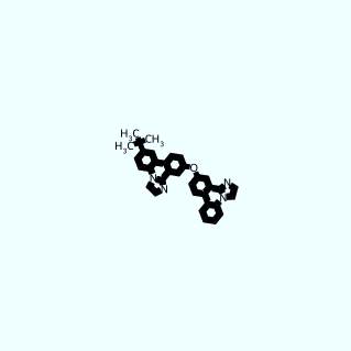 CC(C)(C)c1ccc2c(c1)c1ccc(Oc3ccc4c5ccccc5n5ccnc5c4c3)cc1c1nccn21